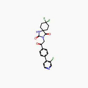 O=C(CN1C(=O)NC2(CCC(F)(F)CC2)C1=O)c1ccc(-c2ccncc2F)cc1